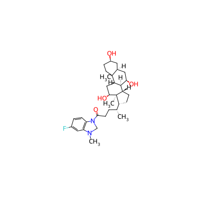 C[C@H](CCC(=O)N1CN(C)c2cc(F)ccc21)[C@H]1CC[C@H]2[C@@H]3[C@H](O)C[C@@H]4C[C@H](O)CC[C@]4(C)[C@H]3C[C@H](O)[C@]12C